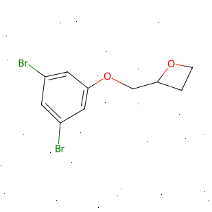 Brc1cc(Br)cc(OCC2CCO2)c1